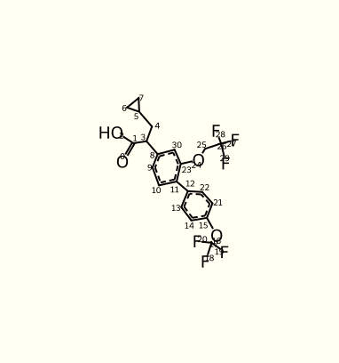 O=C(O)C(CC1CC1)c1ccc(-c2ccc(OC(F)(F)F)cc2)c(OCC(F)(F)F)c1